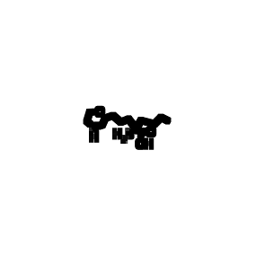 BC(CCCC)(CCCC1CNCCO1)C(=O)O